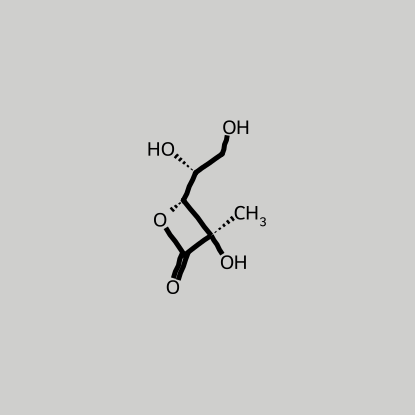 C[C@]1(O)C(=O)O[C@@H]1[C@H](O)CO